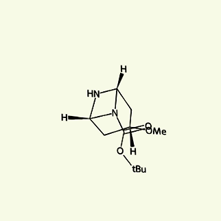 CO[C@@H]1C[C@@H]2N[C@H](C1)N2C(=O)OC(C)(C)C